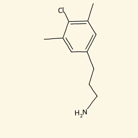 Cc1cc(CCCN)cc(C)c1Cl